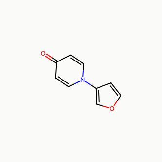 O=c1ccn(-c2ccoc2)cc1